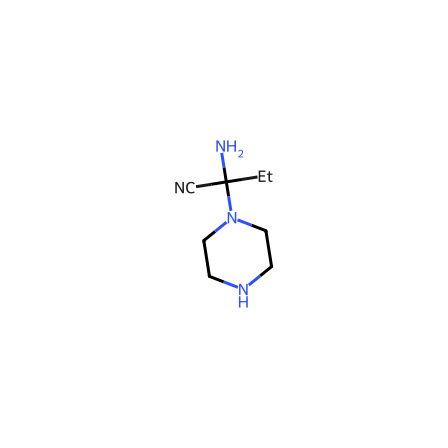 CCC(N)(C#N)N1CCNCC1